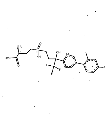 Cc1cc(F)ccc1-c1cnc(C(O)(CCS(=N)(=O)CC[C@H](N)C(=O)O)C(F)(F)F)nc1